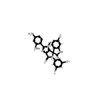 COc1cc(N)ccc1-c1nc2c(n1C(C)C)C1(C(=O)Nc3cc(Cl)ccc31)N(c1cc(F)cc(Cl)c1)C2=O